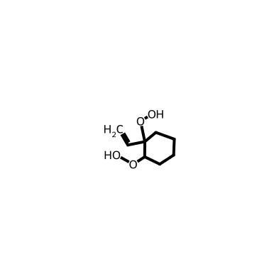 C=CC1(OO)CCCCC1OO